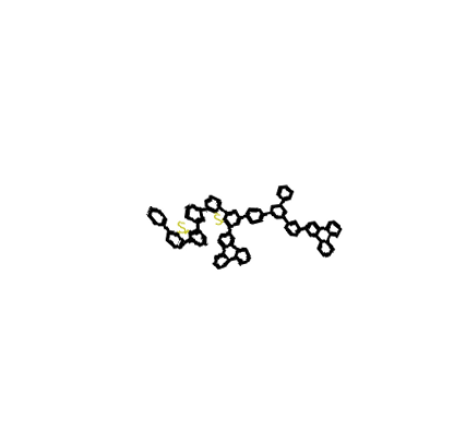 c1ccc(-c2cc(-c3ccc(-c4cc(-c5ccc6c7ccccc7c7ccccc7c6c5)c5sc6c(-c7cccc(-c8cccc9c8sc8c(-c%10ccccc%10)cccc89)c7)cccc6c5c4)cc3)cc(-c3cccc(-c4ccc5c6ccccc6c6ccccc6c5c4)c3)c2)cc1